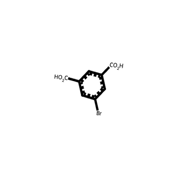 O=C(O)c1cc(Br)cc(C(=O)O)c1